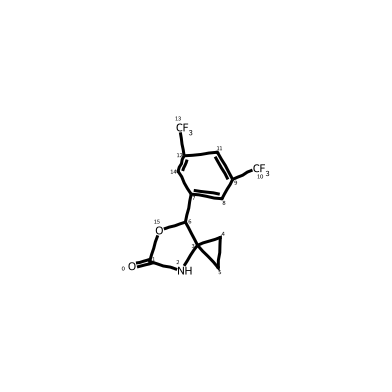 O=C1NC2(CC2)C(c2cc(C(F)(F)F)cc(C(F)(F)F)c2)O1